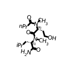 CCCC(=O)N(C)[C@H](CCO)C(=O)N(C)[C@@H](CC(C)C)C(N)=O